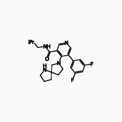 CC(C)CNC(=O)c1cncc(-c2cc(F)cc(F)c2)c1N1CCC2(CCCN2)C1